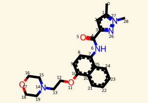 Cc1cc(C(=O)Nc2ccc(OCCN3CCOCC3)c3ccccc23)nn1C